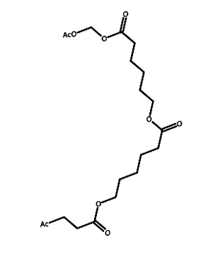 CC(=O)CCC(=O)OCCCCCC(=O)OCCCCCC(=O)OCOC(C)=O